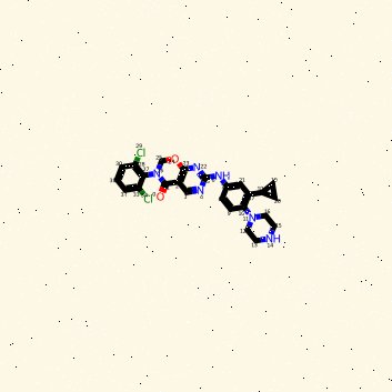 O=C1c2cnc(Nc3ccc(N4CCNCC4)c(C4CC4)c3)nc2OCN1c1c(Cl)cccc1Cl